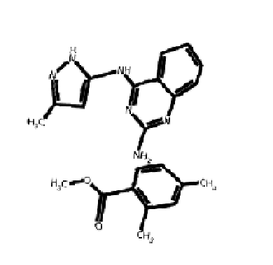 COC(=O)c1ccc(C)cc1C.Cc1cc(Nc2nc(N)nc3ccccc23)[nH]n1